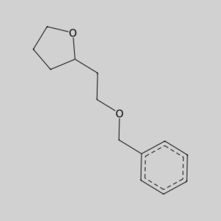 c1ccc(COCCC2CCCO2)cc1